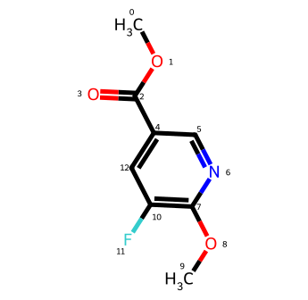 COC(=O)c1cnc(OC)c(F)c1